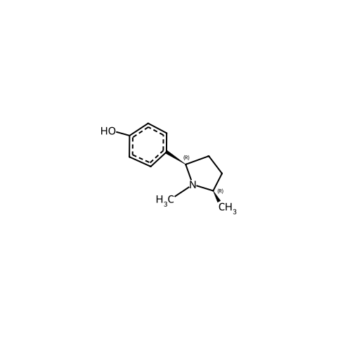 C[C@@H]1CC[C@H](c2ccc(O)cc2)N1C